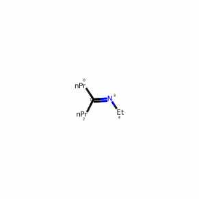 [CH2]CCC(CCC)=NCC